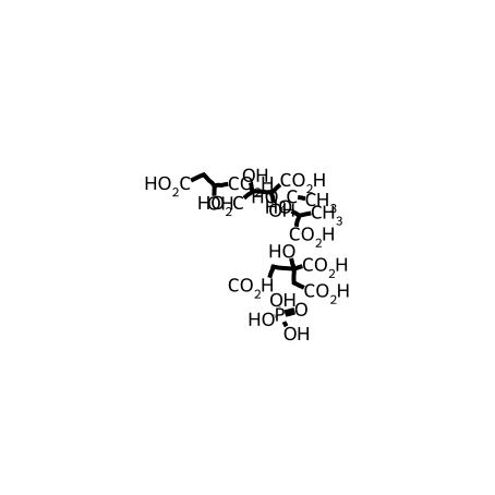 CC(=O)O.CC(O)C(=O)O.O=C(O)C(O)C(O)C(=O)O.O=C(O)CC(O)(CC(=O)O)C(=O)O.O=C(O)CC(O)C(=O)O.O=P(O)(O)O